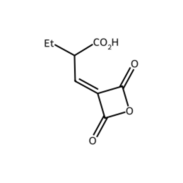 CCC(C=C1C(=O)OC1=O)C(=O)O